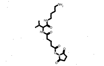 CC(C)C(NC(=O)CCCC(=O)ON1C(=O)CCC1=O)C(=O)NCCCCN